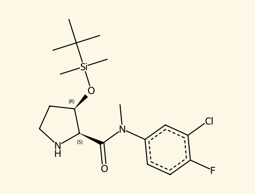 CN(C(=O)[C@H]1NCC[C@H]1O[Si](C)(C)C(C)(C)C)c1ccc(F)c(Cl)c1